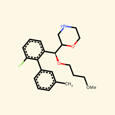 COCCCO[C@@H](c1cccc(F)c1-c1cccc(C)c1)C1CNCCO1